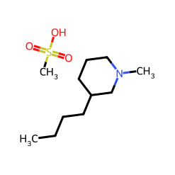 CCCCC1CCCN(C)C1.CS(=O)(=O)O